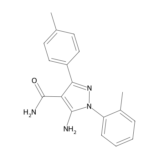 Cc1ccc(-c2nn(-c3ccccc3C)c(N)c2C(N)=O)cc1